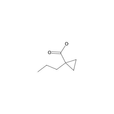 CCCC1(C([O])=O)CC1